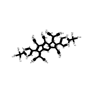 N#CC(C#N)=C1C(c2cnc(C(F)(F)F)nc2)=C(C#N)c2c1cc1c(c2C#N)C(=C(C#N)C#N)C(c2cnc(C(F)(F)F)nc2)=C1C#N